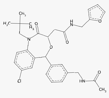 CC(=O)NCc1cccc(C2OC(CC(=O)NCc3ccco3)C(=O)N(CC(C)(C)C)c3ccc(Cl)cc32)c1